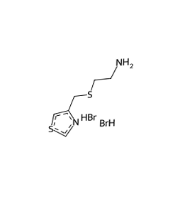 Br.Br.NCCSCc1cscn1